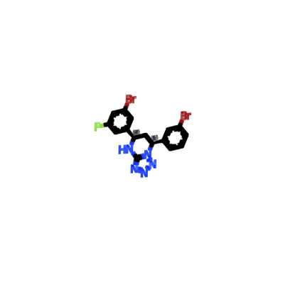 Fc1cc(Br)cc([C@H]2C[C@@H](c3cccc(Br)c3)n3nnnc3N2)c1